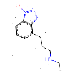 CCNCCCc1cccc2c1nnn2O